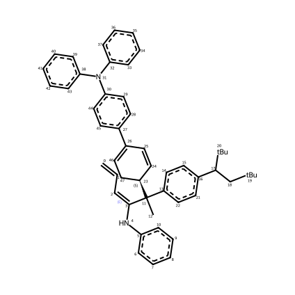 C=C/C=C(/Nc1ccccc1)C(C)(c1ccc(C(CC(C)(C)C)C(C)(C)C)cc1)[C@@H]1C=CC(c2ccc(N(c3ccccc3)c3ccccc3)cc2)=CC1